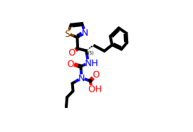 CCCCN(C(=O)O)C(=O)N[C@@H](CCc1ccccc1)C(=O)c1nccs1